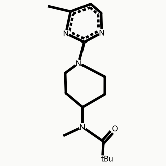 Cc1ccnc(N2CCC(N(C)C(=O)C(C)(C)C)CC2)n1